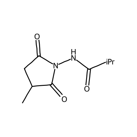 CC(C)C(=O)NN1C(=O)CC(C)C1=O